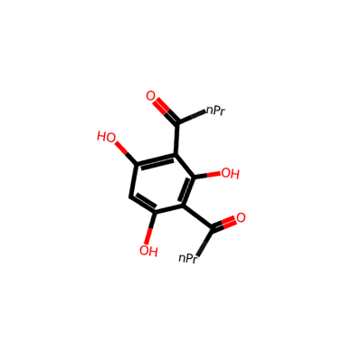 CCCC(=O)c1c(O)cc(O)c(C(=O)CCC)c1O